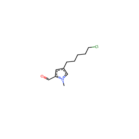 Cn1cc(CCCCCCl)cc1C=O